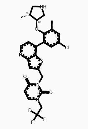 Cc1cc(Cl)cc(-c2ccnc3cc(Cn4c(=O)ccn(CC(F)(F)F)c4=O)sc23)c1O[C@@H]1CNC[C@H]1C